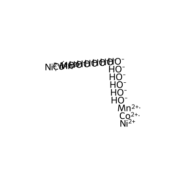 [Co+2].[Co+2].[Mn+2].[Mn+2].[Ni+2].[Ni+2].[OH-].[OH-].[OH-].[OH-].[OH-].[OH-].[OH-].[OH-].[OH-].[OH-].[OH-].[OH-]